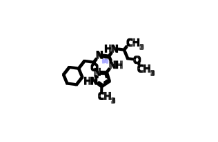 COCC(C)N/C(=N/C(=O)CC1CCCCC1)Nc1cc(C)[nH]n1